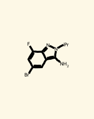 CC(C)n1nc2c(F)cc(Br)cc2c1N